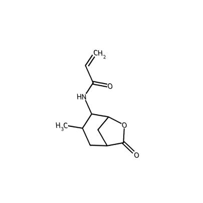 C=CC(=O)NC1C(C)CC2CC1OC2=O